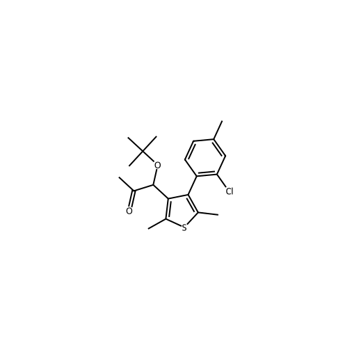 CC(=O)C(OC(C)(C)C)c1c(C)sc(C)c1-c1ccc(C)cc1Cl